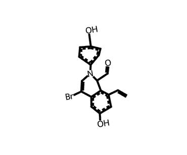 C=Cc1cc(O)cc2c1C(C=O)N(c1ccc(O)cc1)C=C2Br